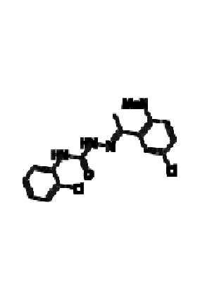 CNc1ccc(Cl)cc1/C(C)=N/NC(=O)Nc1ccccc1Cl